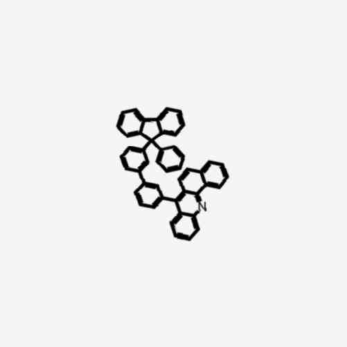 c1ccc(C2(c3cccc(-c4cccc(-c5c6ccccc6nc6c5ccc5ccccc56)c4)c3)c3ccccc3-c3ccccc32)cc1